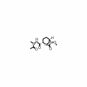 CON1C(=O)N2C[C@H]1CC[C@H]2C(=O)NN(C)C(C)=O